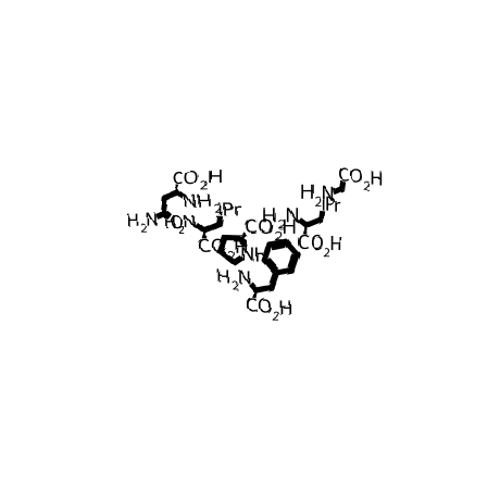 CC(C)C[C@H](N)C(=O)O.CC(C)C[C@H](N)C(=O)O.NC(=O)C[C@H](N)C(=O)O.NCC(=O)O.N[C@@H](Cc1ccccc1)C(=O)O.O=C(O)[C@@H]1CCCN1